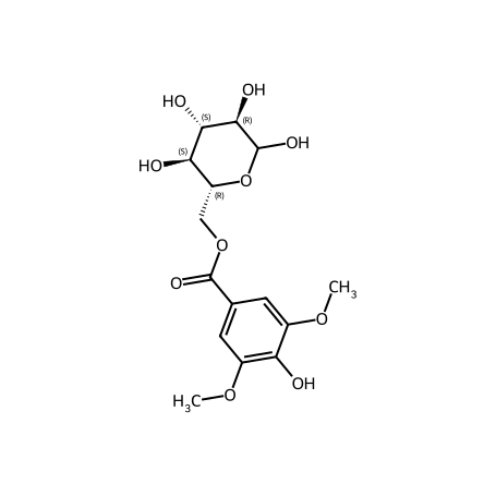 COc1cc(C(=O)OC[C@H]2OC(O)[C@H](O)[C@@H](O)[C@@H]2O)cc(OC)c1O